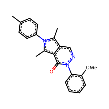 COc1ccccc1-n1ncc2c(C)n(-c3ccc(C)cc3)c(C)c2c1=O